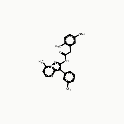 COc1ccc(OC)c(CC(=O)Nc2nn3c(C)ccnc3c2-c2cccc(C(F)(F)F)c2)c1